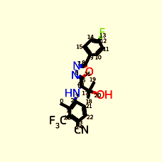 Cc1c(N[C@@H](c2nnc(-c3ccc(F)cc3)o2)C(C)(C)O)ccc(C#N)c1C(F)(F)F